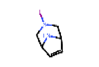 IN1CC2C=CC(C1)N2